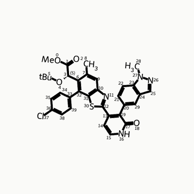 COC(=O)[C@@H](OC(C)(C)C)c1c(C)cc2nc(-c3cc[nH]c(=O)c3-c3ccc4c(cnn4C)c3)sc2c1-c1ccc(Cl)cc1